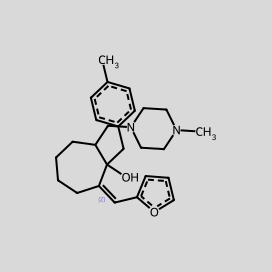 Cc1ccc(CC2(O)/C(=C\c3ccco3)CCCCC2CN2CCN(C)CC2)cc1